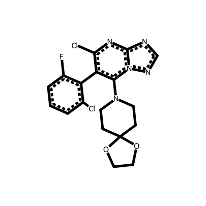 Fc1cccc(Cl)c1-c1c(Cl)nc2ncnn2c1N1CCC2(CC1)OCCO2